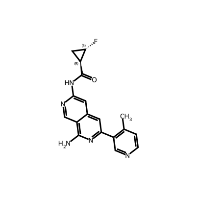 Cc1ccncc1-c1cc2cc(NC(=O)[C@H]3C[C@@H]3F)ncc2c(N)n1